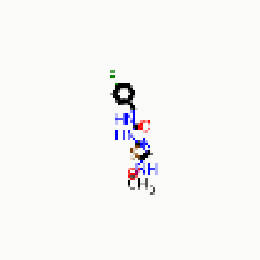 CONc1cnc(NC(=O)NCc2ccc(F)cc2)s1